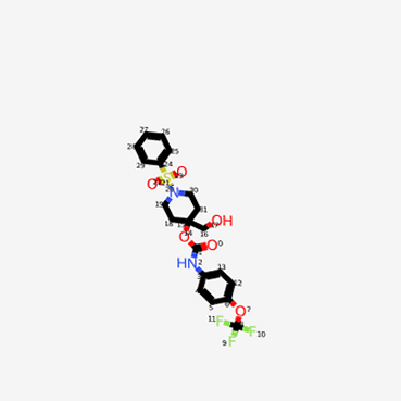 O=C(Nc1ccc(OC(F)(F)F)cc1)OC1(CO)CCN(S(=O)(=O)c2ccccc2)CC1